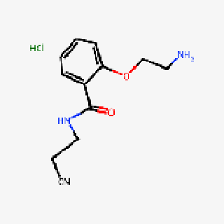 Cl.N#CCCNC(=O)c1ccccc1OCCN